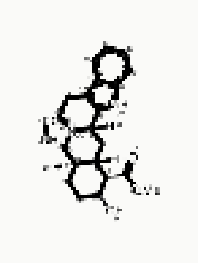 CCOC(N)=O.COC(=O)[C@@H]1[C@H]2C[C@H]3c4[nH]c5ccccc5c4CCN3C[C@@H]2CC[C@@H]1O